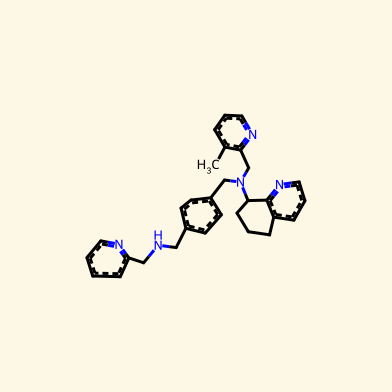 Cc1cccnc1CN(Cc1ccc(CNCc2ccccn2)cc1)C1CCCc2cccnc21